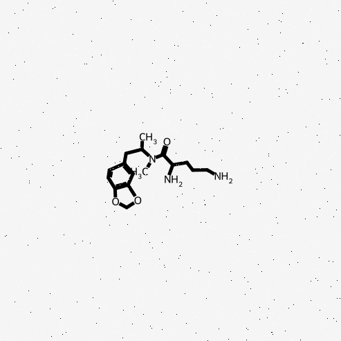 CC(Cc1ccc2c(c1)OCO2)N(C)C(=O)C(N)CCCN